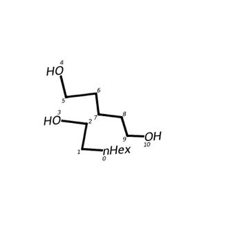 CCCCCCCCO.OCCCCCO